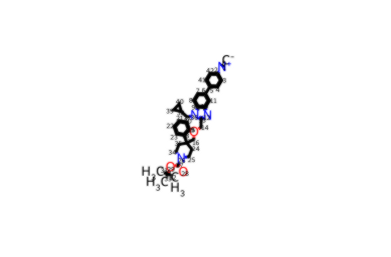 [C-]#[N+]c1ccc(-c2ccc3c(c2)nc(COCC2(c4ccccc4)CCN(C(=O)OC(C)(C)C)CC2)n3CC2CC2)cc1